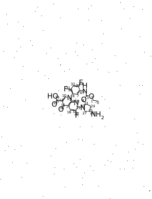 CCOC(=O)Nc1cc(-n2cc(C(=O)O)c(=O)c3cc(F)c(N4CC[C@H](N)C4)nc32)c(F)cc1F